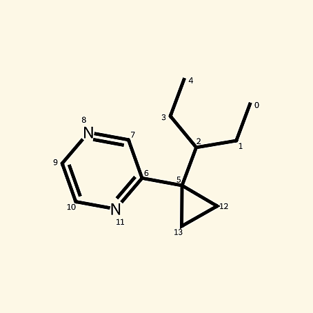 CCC(CC)C1(c2cnccn2)CC1